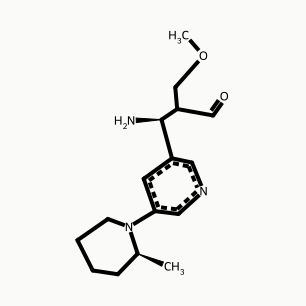 COCC(C=O)[C@H](N)c1cncc(N2CCCC[C@@H]2C)c1